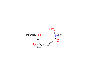 CCCCC[C@@H](O)/C=C/[C@H]1C(=O)C=C[C@@H]1C/C=C\CCCC(=O)N(CC)CCO